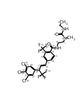 CCNC(=O)N(C)CCNC(=O)c1ccc(/C=C/C(c2cc(Cl)c(Cl)c(Cl)c2)C(F)(F)F)cc1C(F)(F)F